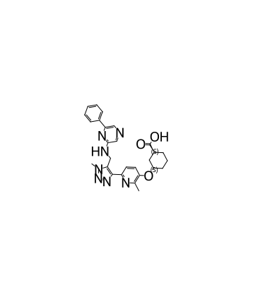 Cc1nc(-c2nnn(C)c2CNc2cncc(-c3ccccc3)n2)ccc1O[C@H]1CCC[C@H](C(=O)O)C1